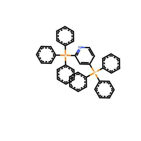 C1=CC([P+](c2ccccc2)(c2ccccc2)c2ccccc2)=CC([P+](c2ccccc2)(c2ccccc2)c2ccccc2)=[N+]1